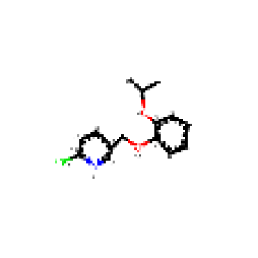 CC(C)Oc1ccccc1OCc1ccc(Cl)nc1